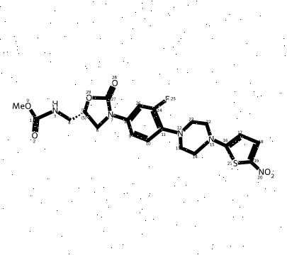 COC(=O)NC[C@H]1CN(c2ccc(N3CCN(c4ccc([N+](=O)[O-])s4)CC3)c(F)c2)C(=O)O1